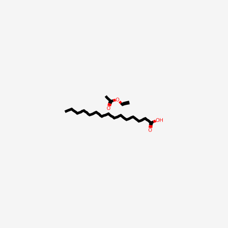 C=COC(C)=O.CCCCCCCCCCCCCCC(=O)O